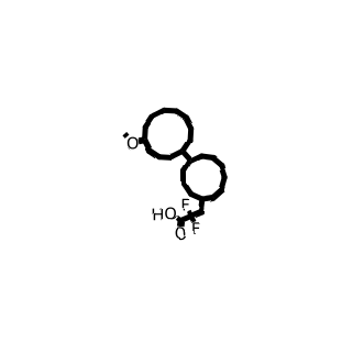 COC1CCCCCCCC(C2CCCCCCC(CC(F)(F)C(=O)O)CCC2)CCC1